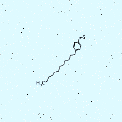 CCCCCCCCCCCCc1ccc(C=S)cc1